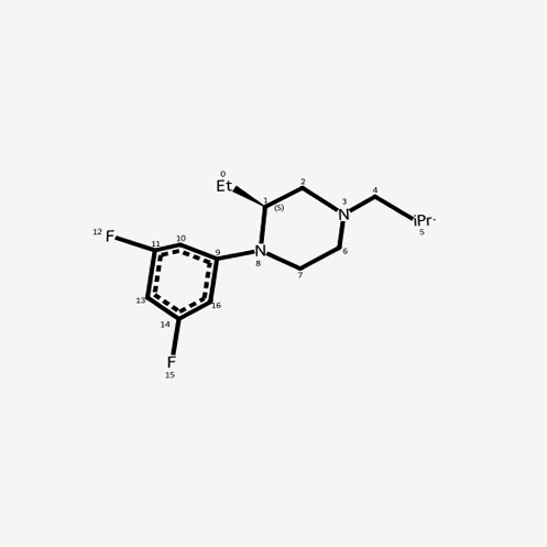 CC[C@H]1CN(C[C](C)C)CCN1c1cc(F)cc(F)c1